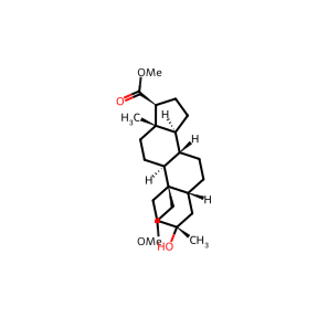 COCC[C@]12CC[C@@](C)(O)C[C@H]1CC[C@H]1[C@@H]3CC[C@H](C(=O)OC)[C@@]3(C)CC[C@@H]12